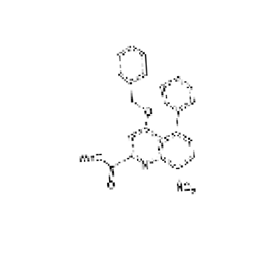 COC(=O)c1cc(OCc2ccccc2)c2c(-c3ccccc3)ccc([N+](=O)[O-])c2n1